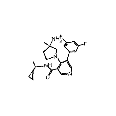 C[C@@H](NC(=O)c1cncc(-c2cc(F)cc(F)c2)c1N1CC[C@](C)(N)C1)C1CC1